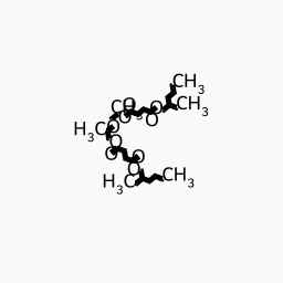 CCCCC(CC)COC(=O)CCC(=O)OCC(C)OCC(C)OC(=O)CCC(=O)OCC(CC)CCCC